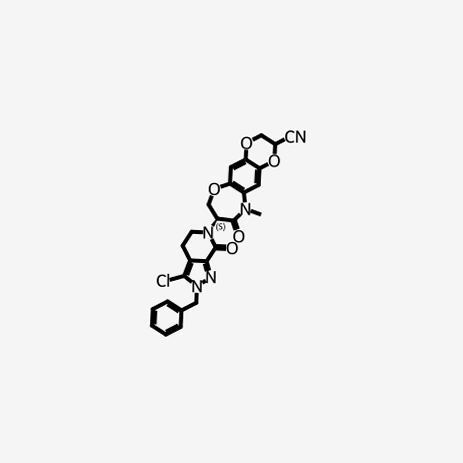 CN1C(=O)[C@@H](N2CCc3c(nn(Cc4ccccc4)c3Cl)C2=O)COc2cc3c(cc21)OC(C#N)CO3